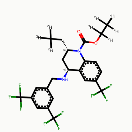 [2H]C([2H])([2H])C[C@H]1C[C@H](NCc2cc(C(F)(F)F)cc(C(F)(F)F)c2)c2cc(C(F)(F)F)ccc2N1C(=O)OC([2H])([2H])C([2H])([2H])[2H]